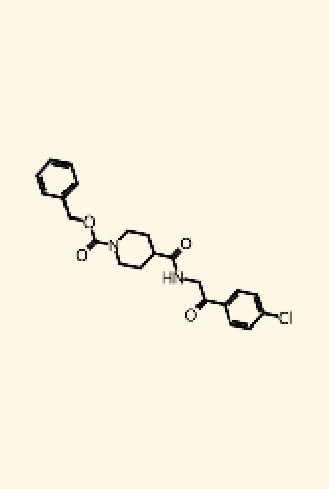 O=C(CNC(=O)C1CCN(C(=O)OCc2ccccc2)CC1)c1ccc(Cl)cc1